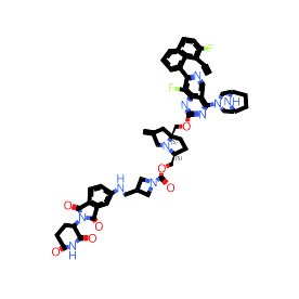 C#Cc1c(F)ccc2cccc(-c3ncc4c(N5CC6CCC(C5)N6)nc(OC[C@@]56CC[C@@H](COC(=O)N7CC(CNc8ccc9c(c8)C(=O)N(C8CCC(=O)NC8=O)C9=O)C7)N5CC(=C)C6)nc4c3F)c12